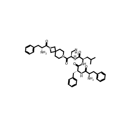 CC(C)C[C@@H](NC(=O)[C@@H](Cc1ccccc1)NC(=O)[C@H](N)Cc1ccccc1)C(=O)N[C@H](CN)C(=O)N1CCC2(CC1)CN(C(=O)[C@H](N)Cc1ccccc1)C2